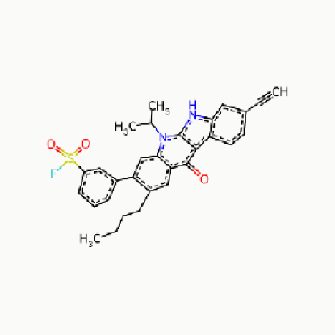 C#Cc1ccc2c(c1)[nH]c1c2c(=O)c2cc(CCCC)c(-c3cccc(S(=O)(=O)F)c3)cc2n1C(C)C